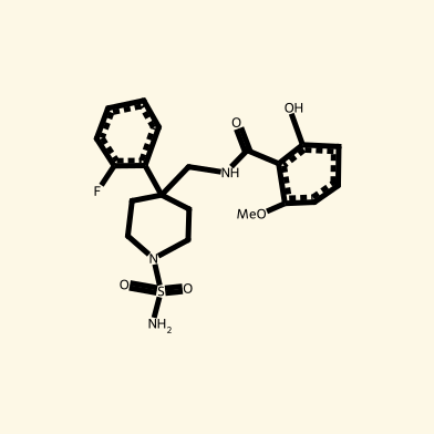 COc1cccc(O)c1C(=O)NCC1(c2ccccc2F)CCN(S(N)(=O)=O)CC1